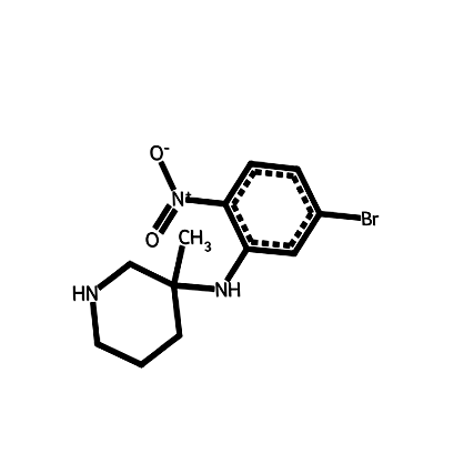 CC1(Nc2cc(Br)ccc2[N+](=O)[O-])CCCNC1